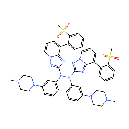 CN1CCN(c2cccc(N(c3nc4c(-c5ccccc5S(C)(=O)=O)cccn4n3)N(c3cccc(N4CCN(C)CC4)c3)c3nc4c(-c5ccccc5S(C)(=O)=O)cccn4n3)c2)CC1